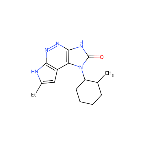 CCc1cc2c(nnc3[nH]c(=O)n(C4CCCCC4C)c32)[nH]1